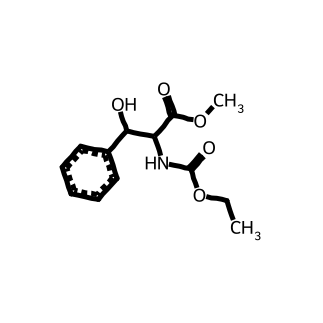 CCOC(=O)NC(C(=O)OC)C(O)c1ccccc1